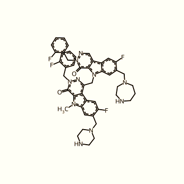 Cn1c2cc(CN3CCNCC3)c(F)cc2c2c(Cn3c4cc(CN5CCCNCC5)c(F)cc4c4cnn(Cc5ccccc5F)c(=O)c43)nn(Cc3ccccc3F)c(=O)c21